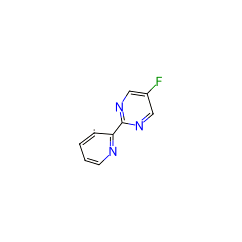 Fc1cnc(-c2[c]cccn2)nc1